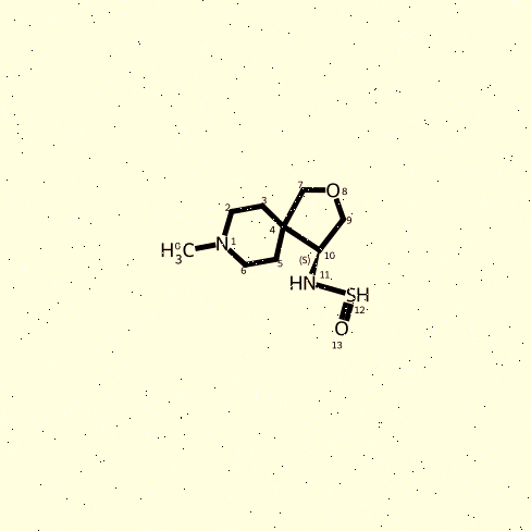 CN1CCC2(CC1)COC[C@H]2N[SH]=O